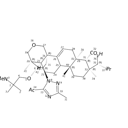 CNC(C)(C)CO[C@H]1[C@H](n2nc(C)nc2C(C)=O)C[C@@]23COC[C@@]1(C)[C@@H]2CCC1C3=CC[C@@]2(C)[C@H](C(=O)O)[C@@](C)([C@H](C)C(C)C)CC[C@]12C